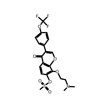 CN(C)CCOc1c(OS(C)(=O)=O)ccc2c(=O)c(-c3ccc(OC(F)(F)F)cc3)coc12